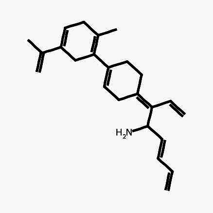 C=CC=CC(N)/C(C=C)=C1\CC=C(C2=C(C)CC=C(C(=C)C)C2)CC1